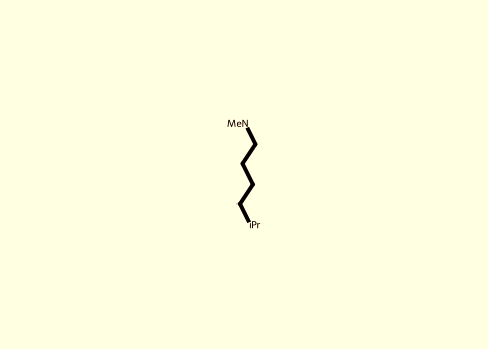 CNCCC[CH]C(C)C